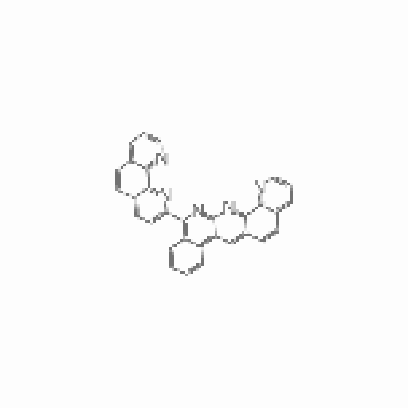 c1cnc2c(c1)ccc1ccc(-c3nc4nc5c(ccc6cccnc65)cc4c4ccccc34)nc12